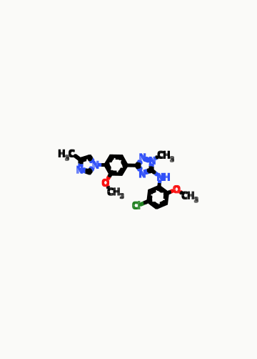 COc1ccc(Cl)cc1Nc1nc(-c2ccc(-n3cnc(C)c3)c(OC)c2)nn1C